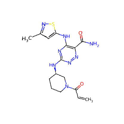 C=CC(=O)N1CCC[C@@H](Nc2nnc(C(N)=O)c(Nc3cc(C)ns3)n2)C1